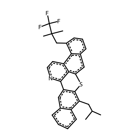 CC(C)Cc1c2c(cc3ccccc13)-c1nccc3c1c(cc1cccc(CC(C)(C)C(F)(F)F)c13)S2